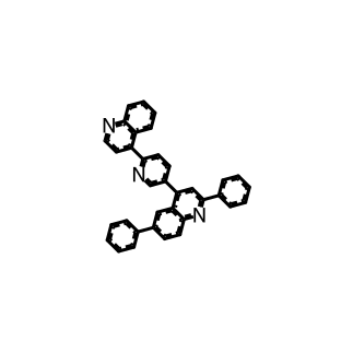 c1ccc(-c2ccc3nc(-c4ccccc4)cc(-c4ccc(-c5ccnc6ccccc56)nc4)c3c2)cc1